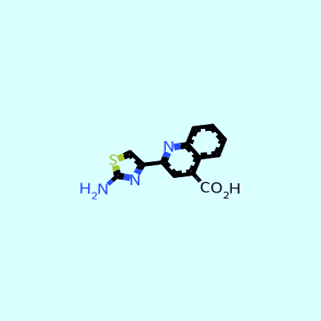 Nc1nc(-c2cc(C(=O)O)c3ccccc3n2)cs1